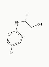 C[C@H](CO)Nc1ccc(Br)cn1